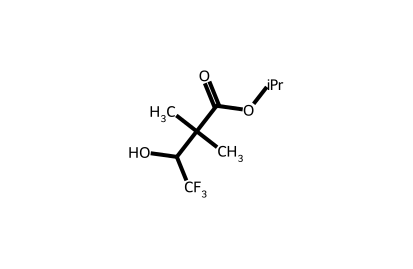 CC(C)OC(=O)C(C)(C)C(O)C(F)(F)F